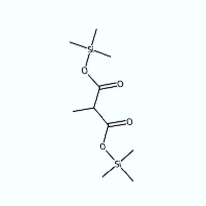 CC(C(=O)O[Si](C)(C)C)C(=O)O[Si](C)(C)C